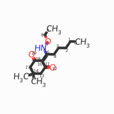 CCCCCC(NOCC)=C1C(=O)CC(C)(C)CC1=O